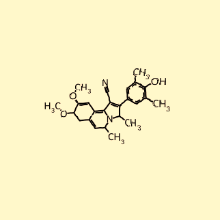 COC1=CC2=C3C(C#N)=C(c4cc(C)c(O)c(C)c4)C(C)N3C(C)C=C2CC1OC